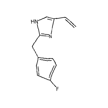 C=Cc1c[nH]c(Cc2ccc(F)cc2)n1